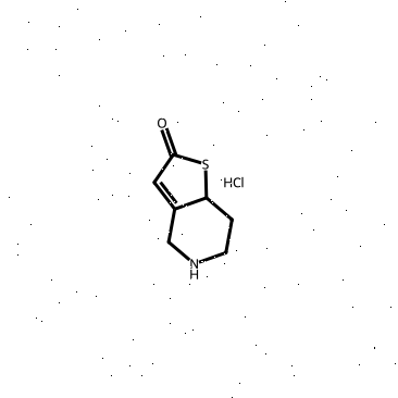 Cl.O=C1C=C2CNCCC2S1